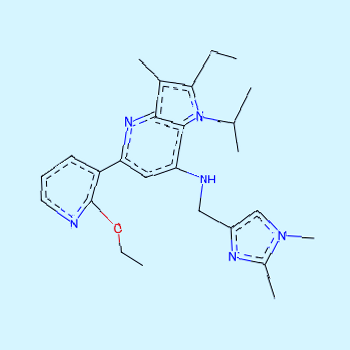 CCOc1ncccc1-c1cc(NCc2cn(C)c(C)n2)c2c(n1)c(C)c(CC)n2C(C)C